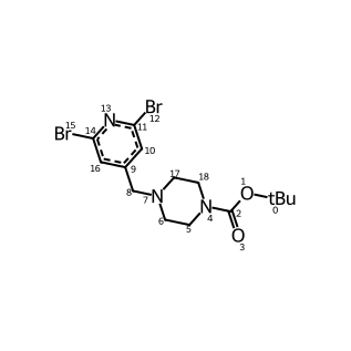 CC(C)(C)OC(=O)N1CCN(Cc2cc(Br)nc(Br)c2)CC1